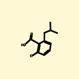 CN(C)Cc1cccc(Cl)c1C(=O)O